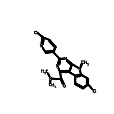 CN(C)C(=O)c1nc(-c2ccc(Cl)nc2)nc2c1c1ccc(Cl)cc1n2C